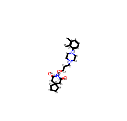 Cc1cccc(N2CCN(CCCON3C(=O)CC4(CCCC4)CC3=O)CC2)c1C